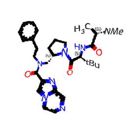 CN[C@@H](C)C(=O)N[C@H](C(=O)N1CCC[C@H]1CN(CCc1ccccc1)C(=O)c1cn2ccncc2n1)C(C)(C)C